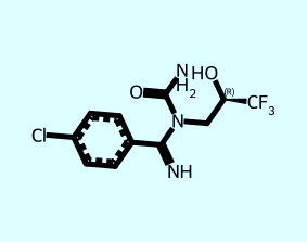 N=C(c1ccc(Cl)cc1)N(C[C@@H](O)C(F)(F)F)C(N)=O